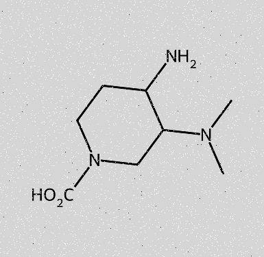 CN(C)C1CN(C(=O)O)CCC1N